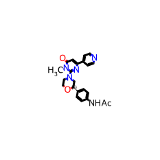 CC(=O)Nc1ccc([C@H]2CN(c3nc(-c4ccncc4)cc(=O)n3C)CCO2)cc1